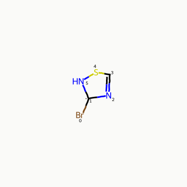 Br[C]1N=CSN1